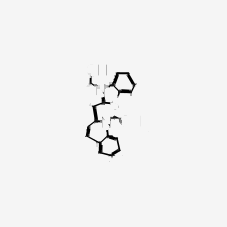 CCN1C(=Cc2sc3ccccc3[n+]2CC)C=Cc2ccccc21